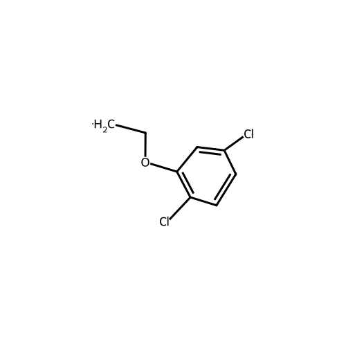 [CH2]COc1cc(Cl)ccc1Cl